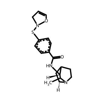 C[C@H]1[C@H](NC(=O)c2ccc(SN3CC=CO3)cc2)C2CCN1CC2